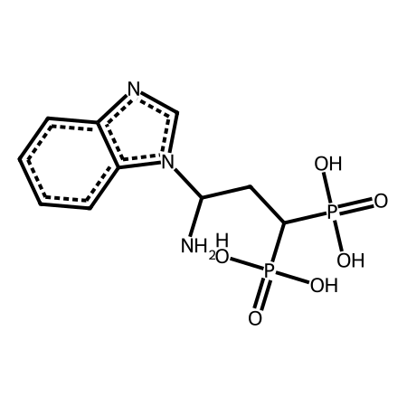 NC(CC(P(=O)(O)O)P(=O)(O)O)n1cnc2ccccc21